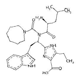 CCc1[nH]c([C@@H](Cc2c[nH]c3ccccc23)N(C(=O)[C@@H](N)CC(C)C)C(=O)N2CCCCCC2)nc1C(=O)O